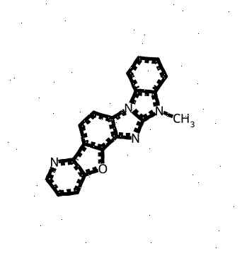 Cn1c2ccccc2n2c3ccc4c5ncccc5oc4c3nc12